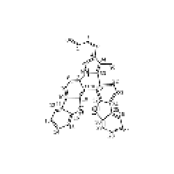 C=C/C=C\c1cn2c3ccc4c5ccccc5sc4c3c3c(ccc4c5ccccc5sc43)c2c1C